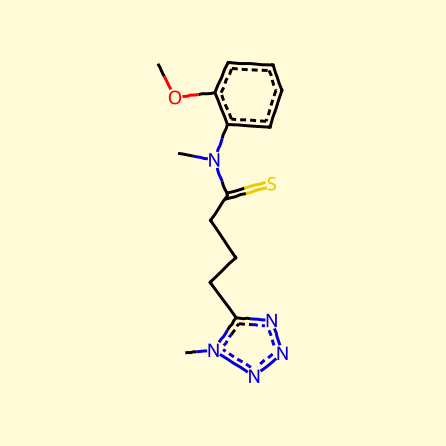 COc1ccccc1N(C)C(=S)CCCc1nnnn1C